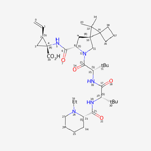 C=C[C@@H]1C[C@]1(NC(=O)[C@@H]1C[C@@]2(CN1C(=O)[C@@H](NC(=O)[C@@H](NC(=O)[C@@H]1CCCCN1CC)C(C)(C)C)C(C)(C)C)C(C)(C)C21CCC1)C(=O)O